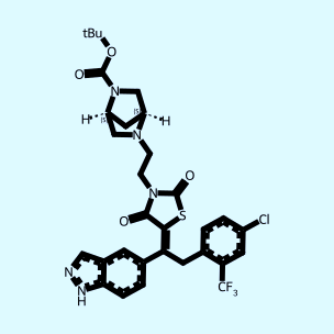 CC(C)(C)OC(=O)N1C[C@@H]2C[C@H]1CN2CCN1C(=O)SC(=C(Cc2ccc(Cl)cc2C(F)(F)F)c2ccc3[nH]ncc3c2)C1=O